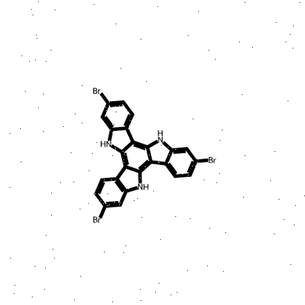 Brc1ccc2c(c1)[nH]c1c2c2[nH]c3cc(Br)ccc3c2c2[nH]c3cc(Br)ccc3c12